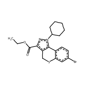 CCOC(=O)c1nn(C2CCCCC2)c2c1CSc1cc(Br)ccc1-2